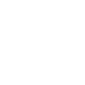 COc1ccc(CCCNC(=O)c2ccc(Cl)cc2)cc1